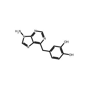 Nn1cnc2c(Cc3ccc(O)c(O)c3)ncnc21